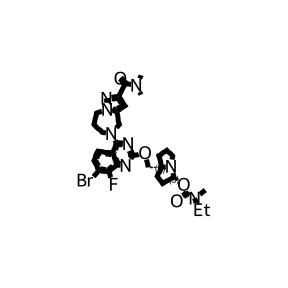 CCN(C)C(=O)O[C@H]1CC[C@@]2(COc3nc(N4CCCn5nc(C(=O)N(C)C)cc5C4)c4ccc(Br)c(F)c4n3)CCCN12